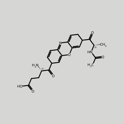 CC(=O)N[C@@H](C)C(=O)C1C=C2OC3=CC(C(=O)[C@@H](N)CCC(=O)O)C=CC3=NC2=CC1